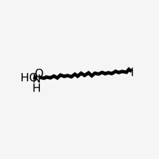 O=C(CCCCCCCCCCCCCCCCCCCCCCCCCCI)NO